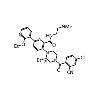 CCOc1ncccc1-c1ccc(N2CCN(C(=O)c3ccc(Cl)cc3C#N)C[C@H]2CC)c(C(=O)NCCNC)n1